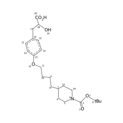 CC(C)(C)OC(=O)N1CCC(CCCCOc2ccc(CC(O)C(=O)O)cc2)CC1